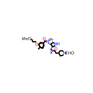 COCCCOc1cc(C(=O)N(C[C@@H]2CNC[C@H]2CN(C)C(=O)CC2CCN(C=O)CC2)C(C)C)ccc1C